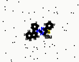 CC(C)(C)c1nc(-n2c3ccccc3c3c4ccccc4ccc32)nc2c1sc1ccccc12